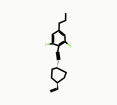 C=C[C@H]1CC[C@H](C#Cc2c(F)cc(CCC)cc2F)CC1